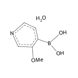 COc1cnccc1B(O)O.O